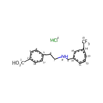 Cl.O=C(O)c1ccc(CCNCc2cccc(C(F)(F)F)c2)cc1